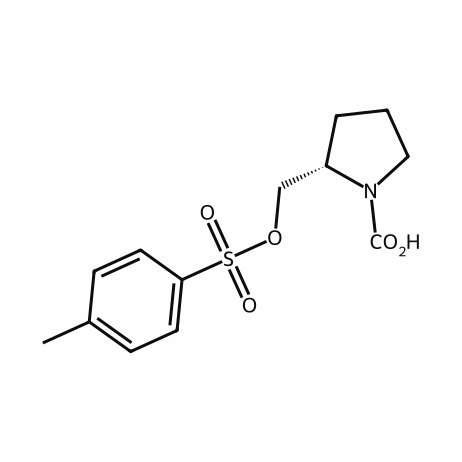 Cc1ccc(S(=O)(=O)OC[C@@H]2CCCN2C(=O)O)cc1